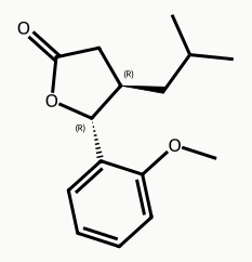 COc1ccccc1[C@@H]1OC(=O)C[C@H]1CC(C)C